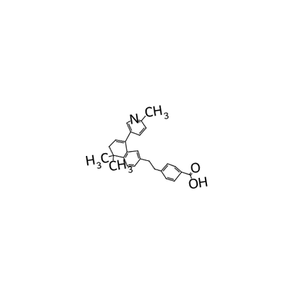 Cc1ccc(C2=CCC(C)(C)c3ccc(CCc4ccc(C(=O)O)cc4)cc32)cn1